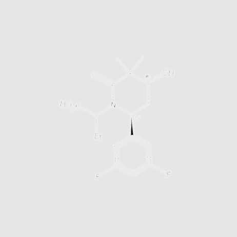 CCC(C(=O)O)N1C(=O)C(C)(C)[C@H](O)C[C@H]1c1cc(F)cc(F)c1